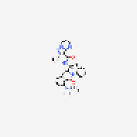 Cc1nn2cccnc2c1C(=O)N[C@@H](C)c1cc2cccc(N(C)C)c2c(=O)n1-c1ccccc1